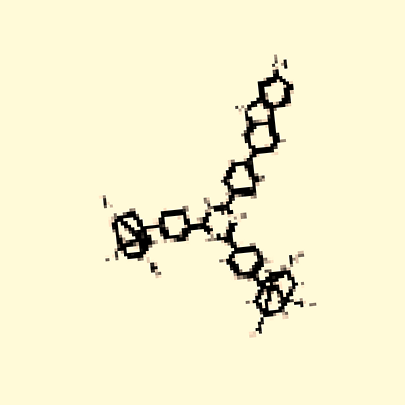 N#Cc1ccc2c(c1)oc1cc(-c3ccc(-c4nc(-c5ccc(C67C[C@H]8C[C@@H](C6)C[C@@H](C7)C8)cc5)nc(-c5ccc(C67C[C@H]8C[C@H](C6)C[C@@H](C7)C8)cc5)n4)cc3)ccc12